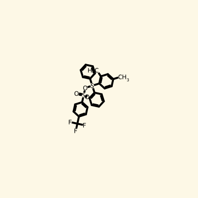 Cc1ccc(S(OS(=O)(=O)c2ccc(C(F)(F)F)cc2)(c2ccccc2)c2ccccc2)c(C)c1